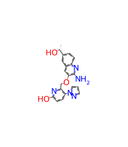 C[C@@H](O)c1ccc2nc(N)c(OCc3nc(O)ccc3-n3cccn3)cc2c1